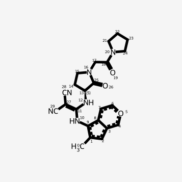 Cc1cc2coccc-2c1NC(N[C@H]1CCN(CC(=O)N2CCCC2)C1=O)=C(C#N)C#N